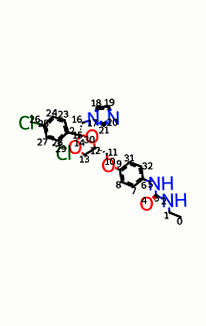 CCNC(=O)Nc1ccc(OC[C@@H]2CO[C@@](Cn3ccnc3)(c3ccc(Cl)cc3Cl)O2)cc1